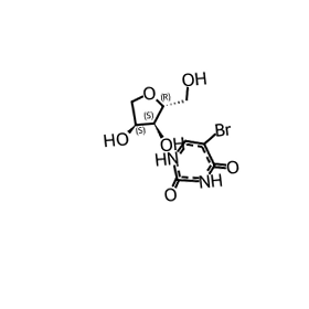 O=c1[nH]cc(Br)c(=O)[nH]1.OC[C@H]1OC[C@H](O)[C@@H]1O